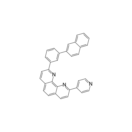 c1cc(-c2ccc3ccccc3c2)cc(-c2ccc3ccc4ccc(-c5ccncc5)nc4c3n2)c1